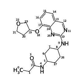 CCC(=O)NC1CCC(Nc2ncc3cccc(OC4CCOC4)c3n2)CC1